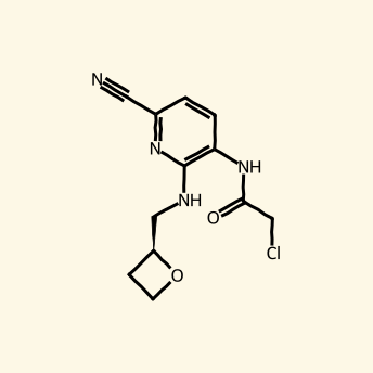 N#Cc1ccc(NC(=O)CCl)c(NC[C@@H]2CCO2)n1